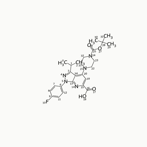 CC(C)c1nn(-c2ccc(F)cc2)c2nc(C(=O)O)cc(N3CCN(C(=O)OC(C)(C)C)CC3)c12